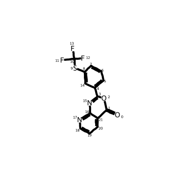 O=c1oc(-c2cccc(SC(F)(F)F)c2)nc2ncccc12